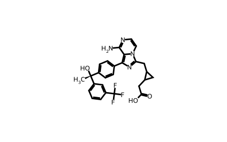 C[C@@](O)(c1ccc(-c2nc(CC3CC3CC(=O)O)n3ccnc(N)c23)cc1)c1cccc(C(F)(F)F)c1